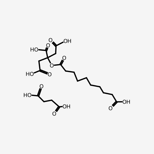 O=C(O)CCC(=O)O.O=C(O)CCCCCCCCC(=O)OC(CC(=O)O)(CC(=O)O)C(=O)O